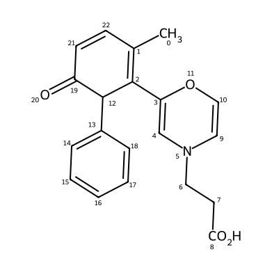 CC1=C(C2=CN(CCC(=O)O)C=CO2)C(c2ccccc2)C(=O)C=C1